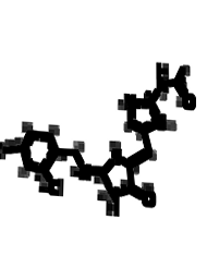 CC(=O)Nc1ncc(/C=C2\S/C(=N\Cc3ccc(Cl)cc3Cl)NC2=O)s1